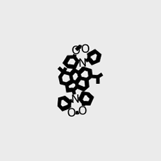 CC(C)c1cc(N2c3ccccc3OCOC3C=CC=CC32)c2cc3c4c(cc(N5C6=CCCC=C6OCOc6ccccc65)c5ccc1c2c54)CCC3(C)C